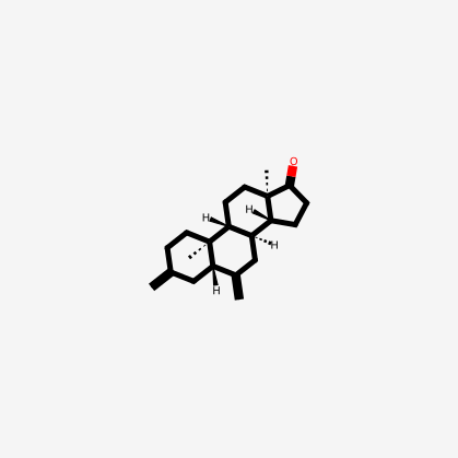 C=C1CC[C@@]2(C)[C@@H]3CC[C@@]4(C)C(=O)CC[C@@H]4[C@H]3CC(=C)[C@@H]2C1